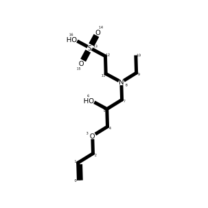 C=CCOCC(O)CN(CC)CCS(=O)(=O)O